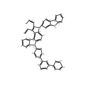 C=Cc1c(/C=C\C)n(-c2ccc3c(c2)oc2ccccc23)c2ccc3c(c4ccccc4n3-c3ccc(-c4cccc(-c5ccccc5)c4)cc3)c12